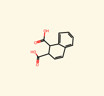 O=C(O)C1C=Cc2ccccc2C1C(=O)O